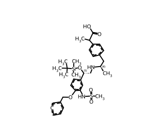 CC(C(=O)O)c1ccc(C[C@@H](C)NC[C@@H](O[Si](C)(C)C(C)(C)C)c2ccc(OCc3ccccc3)c(NS(C)(=O)=O)c2)cc1